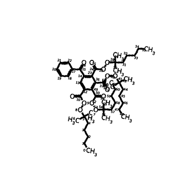 CCCCCC(C)(C)OOC(=O)c1cc(C(=O)c2ccccc2)c(C(=O)OOC(C)(C)CCCCC)c(C(=O)OOC(C)(C)CCCCC)c1C(=O)OOC(C)(C)CCCCC